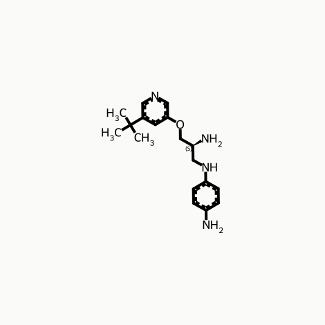 CC(C)(C)c1cncc(OC[C@@H](N)CNc2ccc(N)cc2)c1